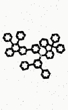 c1ccc(-c2cc(-c3ccccc3)cc(N(c3cccc(-c4ccc5c(c4)c(-c4ccccc4)c(-c4ccccc4)c4ccccc45)c3)c3cccc4c3-c3ccccc3C4(c3ccccc3)c3ccccc3)c2)cc1